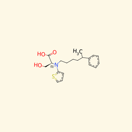 CC(CCCCN(c1cccs1)[C@@H](CO)C(=O)O)c1ccccc1